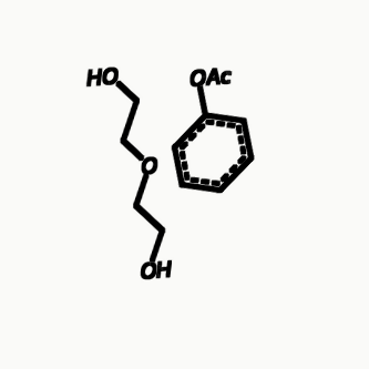 CC(=O)Oc1ccccc1.OCCOCCO